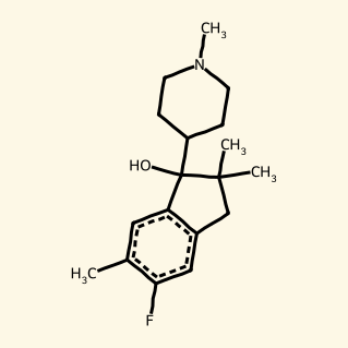 Cc1cc2c(cc1F)CC(C)(C)C2(O)C1CCN(C)CC1